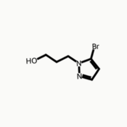 OCCCn1nccc1Br